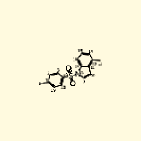 Cc1ccc(S(=O)(=O)n2ccc3c(C)cccc32)cc1